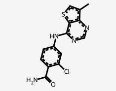 Cc1csc2c(Nc3ccc(C(N)=O)c(Cl)c3)ncnc12